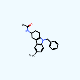 CCC(=O)NC1CCc2c(c3cc(OC)ccc3n2Cc2ccccc2)C1